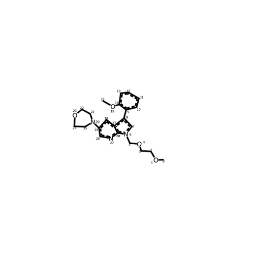 COCCOCn1cc(-c2ccccc2OC)c2cc(N3CCOCC3)cnc21